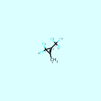 CC1=C(C(F)(F)F)C1(F)F